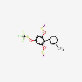 CC1=CC(c2c(OSI)cc(OSC(F)(F)F)cc2OSI)CCC1